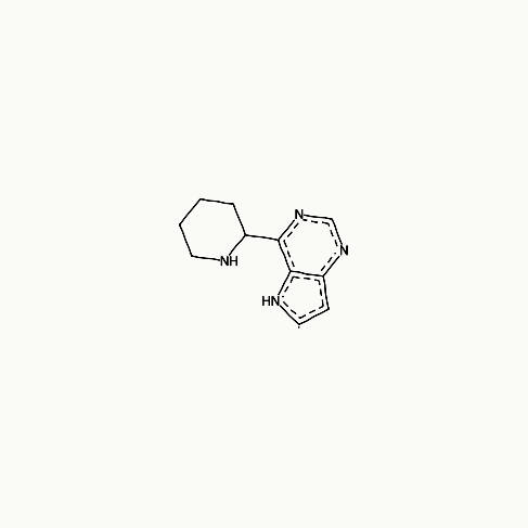 [c]1cc2ncnc(C3CCCCN3)c2[nH]1